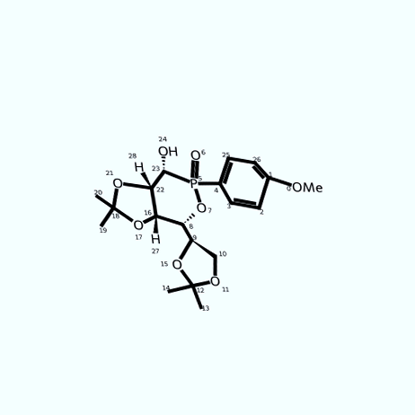 COc1ccc(P2(=O)O[C@H]([C@H]3COC(C)(C)O3)[C@@H]3OC(C)(C)O[C@@H]3[C@@H]2O)cc1